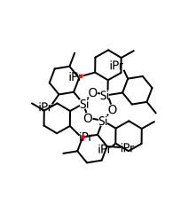 CC1CCC(C(C)C)C([Si]2(C3CC(C)CCC3C(C)C)O[Si](C3CC(C)CCC3C(C)C)(C3CC(C)CCC3C(C)C)O[Si](C3CC(C)CCC3C(C)C)(C3CC(C)CCC3C(C)C)O2)C1